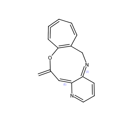 C=C1/C=c2/nccc/c2=N/CC2=C(C=C=CC=C2)O1